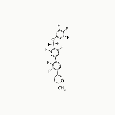 CC1CCC(c2ccc(-c3cc(F)c(C(F)(F)Oc4cc(F)c(F)c(F)c4)c(F)c3)c(F)c2F)=CO1